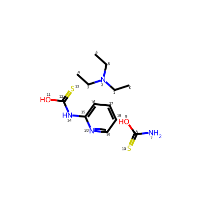 CCN(CC)CC.NC(O)=S.OC(=S)Nc1ccccn1